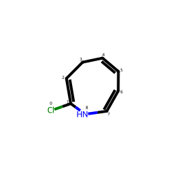 ClC1=CCC=CC=CN1